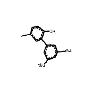 Cc1ccc(O)c(-c2cc(C(C)(C)C)cc(C(C)(C)C)c2)c1